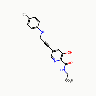 CCc1ccc(NCC#Cc2cnc(C(=O)NCC(=O)O)c(O)c2)cc1